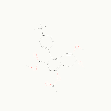 COC(=O)c1cc(OC(C)=O)c2cc(OC)c(OC)cc2c1-c1ccc(C(C)(C)C)cc1